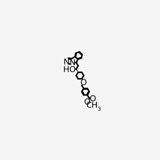 COC(=O)c1ccc(CO[C@H]2CC[C@H](C(O)CC3c4ccccc4-c4cncn43)CC2)cc1